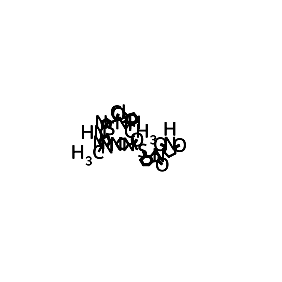 Cc1nc(Nc2ncc(C(=O)Nc3c(C)cccc3Cl)s2)cc(N2CCN(C(=O)CSc3cccc4c3CN(C3CCC(=O)NC3=O)C4=O)CC2)n1